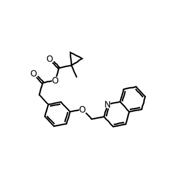 CC1(C(=O)OC(=O)Cc2cccc(OCc3ccc4ccccc4n3)c2)CC1